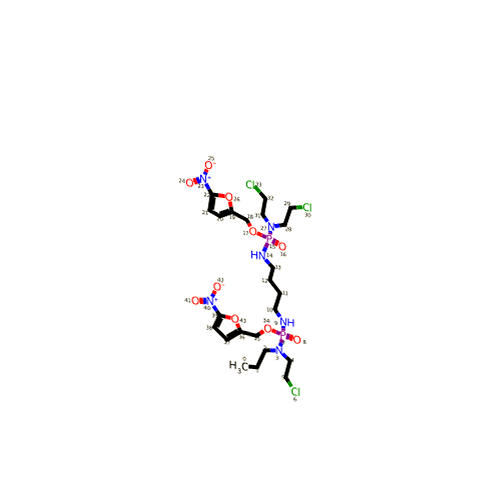 CCCN(CCCl)P(=O)(NCCCCNP(=O)(OCc1ccc([N+](=O)[O-])o1)N(CCCl)CCCl)OCc1ccc([N+](=O)[O-])o1